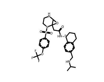 CC(C)NCc1ccc2c(c1)CCC[C@H]2NC(=O)CC12OC1NCCN2S(=O)(=O)c1ccc(OC(F)(F)F)cc1